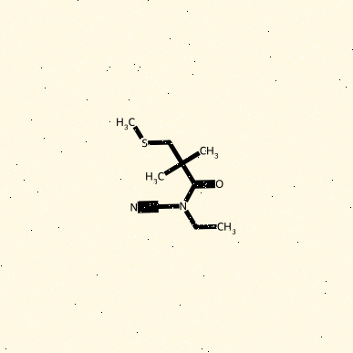 CCN(C#N)C(=O)C(C)(C)CSC